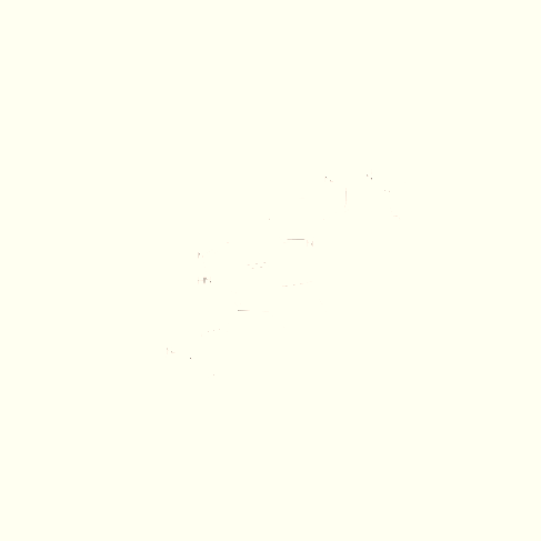 CCc1c(F)c(SCC(=O)N(C)C)c2[nH]ncc2c1-c1ccc2nc(NC(C)=O)sc2n1